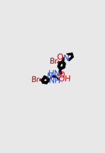 O=C(N[C@@H](CO)c1nc2cc(Br)ccc2[nH]1)c1ccc(C(=O)N2CCCC2)c(Br)c1